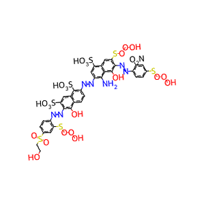 Nc1c(N=Nc2ccc3c(O)c(N=Nc4ccc(S(=O)(=O)CCO)cc4SOOO)c(S(=O)(=O)O)cc3c2S(=O)(=O)O)cc(S(=O)(=O)O)c2cc(SOOO)c(N=Nc3ccc(SOOO)cc3[N+](=O)[O-])c(O)c12